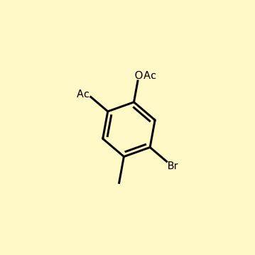 CC(=O)Oc1cc(Br)c(C)cc1C(C)=O